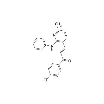 Cc1ccc(C=CC(=O)c2ccc(Cl)nc2)c(Nc2ccccc2)n1